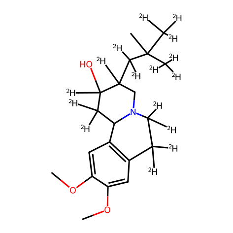 [2H]C([2H])([2H])C(C)(C([2H])([2H])[2H])C([2H])([2H])C1([2H])CN2C(c3cc(OC)c(OC)cc3C([2H])([2H])C2([2H])[2H])C([2H])([2H])C1([2H])O